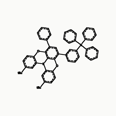 CC(C)(C)c1ccc2c(c1)B1c3cc(C(C)(C)C)ccc3Oc3c(-c4cccc([Si](c5ccccc5)(c5ccccc5)c5ccccc5)c4)cc(-c4ccccc4)c(c31)O2